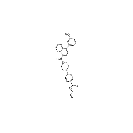 C=CCOC(=O)c1ccc(N2CCN(C(=O)c3ccc(-c4cccc(O)c4)c4ccccc34)CC2)cc1